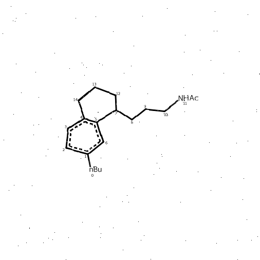 CCCCc1ccc2c(c1)C(CCCNC(C)=O)CCC2